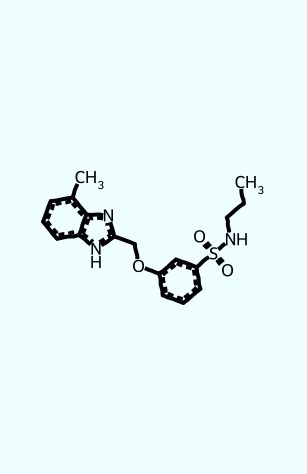 CCCNS(=O)(=O)c1cccc(OCc2nc3c(C)cccc3[nH]2)c1